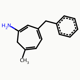 CC1=CC=C(Cc2ccccc2)C=C(N)C1